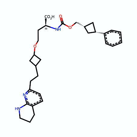 O=C(N[C@@H](CCOC1CC(CCc2ccc3c(n2)NCCC3)C1)C(=O)O)OC[C@H]1C[C@@H](c2ccccc2)C1